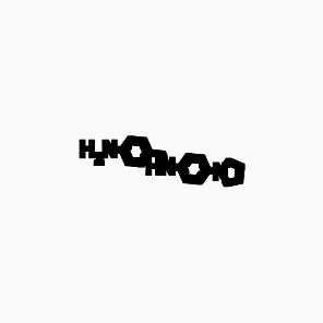 Nc1ccc(CNc2ccc(N3CC=CC3)cc2)cc1